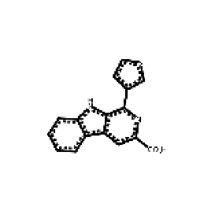 O=C(O)c1cc2c([nH]c3ccccc32)c(-c2ccsc2)n1